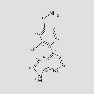 NCc1ccc(-c2ccnc3[nH]ccc23)c(F)c1